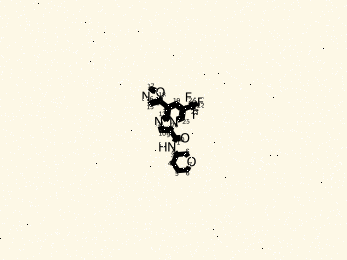 O=C(NC1CCCOC1)c1cnc2c(-c3cnco3)cc(C(F)(F)F)cn12